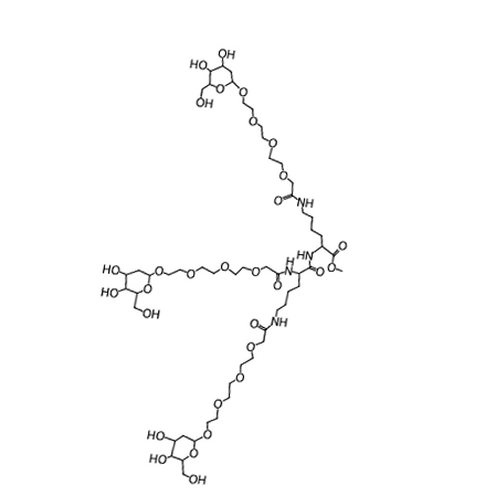 COC(=O)C(CCCCNC(=O)COCCOCCOCCOC1CC(O)C(O)C(CO)O1)NC(=O)C(CCCCNC(=O)COCCOCCOCCOC1CC(O)C(O)C(CO)O1)NC(=O)COCCOCCOCCOC1CC(O)C(O)C(CO)O1